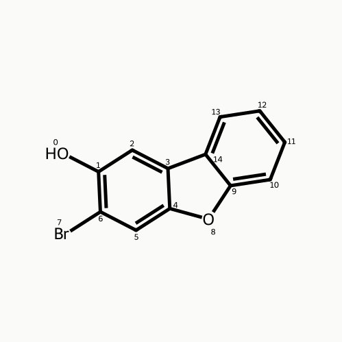 Oc1cc2c(cc1Br)oc1ccccc12